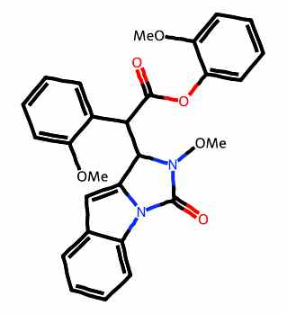 COc1ccccc1OC(=O)C(c1ccccc1OC)C1c2cc3ccccc3n2C(=O)N1OC